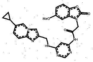 COc1ccc2oc(=O)n(CC(=O)Nc3cc(NCc4cn5cc(C6CC6)ccc5n4)ncn3)c2c1